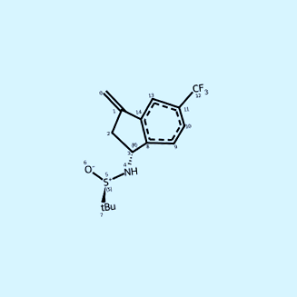 C=C1C[C@@H](N[S@+]([O-])C(C)(C)C)c2ccc(C(F)(F)F)cc21